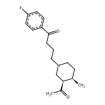 CC(=O)[C@H]1CN(CCCC(=O)c2ccc(F)cc2)CC[C@H]1C